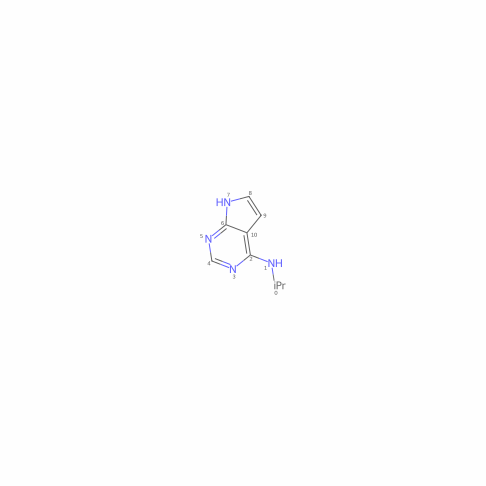 CC(C)Nc1ncnc2[nH]ccc12